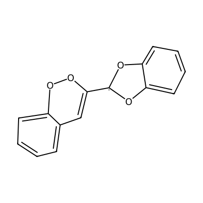 C1=C([C]2Oc3ccccc3O2)OOc2ccccc21